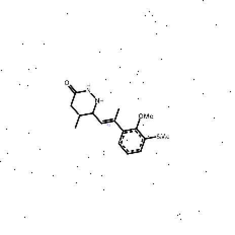 COc1c(SC)cccc1/C(C)=C/C1NNC(=O)CC1C